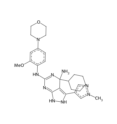 COc1cc(N2CCOCC2)ccc1NC1=NC(N)(C2CCCCC2)C2=C(c3cnn(C)c3)NNC2=N1